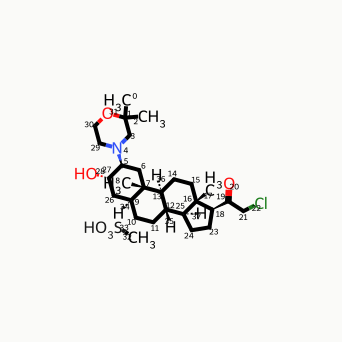 CC1(C)CN([C@H]2C[C@@]3(C)[C@@H](CC[C@@H]4[C@@H]3CC[C@]3(C)[C@@H](C(=O)CCl)CC[C@@H]43)C[C@@H]2O)CCO1.CS(=O)(=O)O